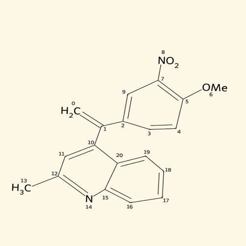 C=C(c1ccc(OC)c([N+](=O)[O-])c1)c1cc(C)nc2ccccc12